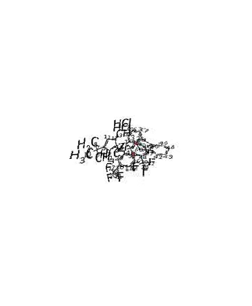 Cl.Cl.[CH2]=[Zr]([C]1=CC(C(C)(C)C)=CC1C)([c]1cccc(C(F)(F)F)c1)([c]1cccc(C(F)(F)F)c1)[c]1cccc2c1Cc1ccccc1-2